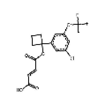 O=C(O)/C=C/C(=O)OC1(c2cc(Cl)cc(OC(F)(F)F)c2)CCC1